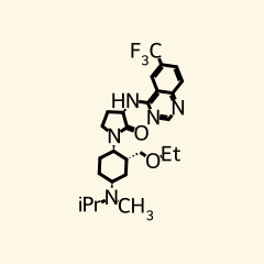 CCOC[C@@H]1C[C@H](N(C)C(C)C)CC[C@@H]1N1CC[C@H](Nc2ncnc3ccc(C(F)(F)F)cc23)C1=O